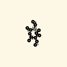 c1ccc(-c2nc(-c3ccccc3)nc(-c3cc(-c4ccc5sc6ccccc6c5c4)cc(-n4c5ccccc5c5c6c7ccccc7n(-c7nc(-c8ccc9sc%10ccccc%10c9c8)nc(-c8ccc9sc%10ccccc%10c9c8)n7)c6ccc54)c3)n2)cc1